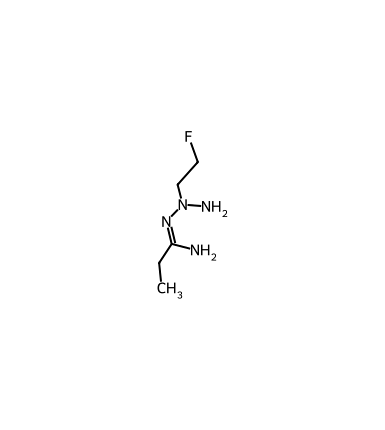 CC/C(N)=N/N(N)CCF